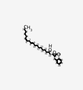 CCCCC/C=C\C/C=C/CCCCCCC[C@H](O)C[C@@H]1OC(=O)[C@H]1Cc1ccccc1